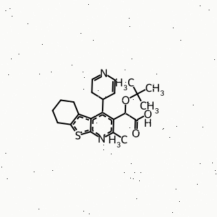 Cc1nc2sc3c(c2c(C2C=CN=CC2)c1C(OC(C)(C)C)C(=O)O)CCCC3